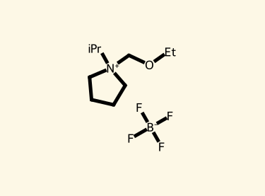 CCOC[N+]1(C(C)C)CCCC1.F[B-](F)(F)F